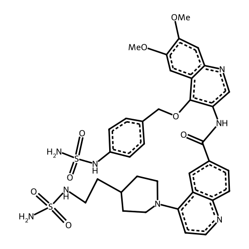 COc1cc2ncc(NC(=O)c3ccc4nccc(N5CCC(CCNS(N)(=O)=O)CC5)c4c3)c(OCc3ccc(NS(N)(=O)=O)cc3)c2cc1OC